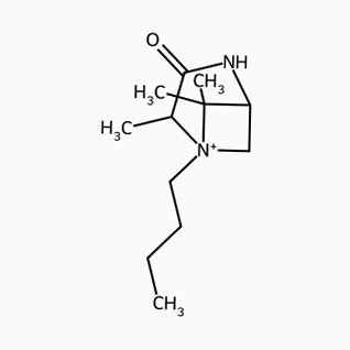 CCCC[N+]12CC(NC(=O)C1C)C2(C)C